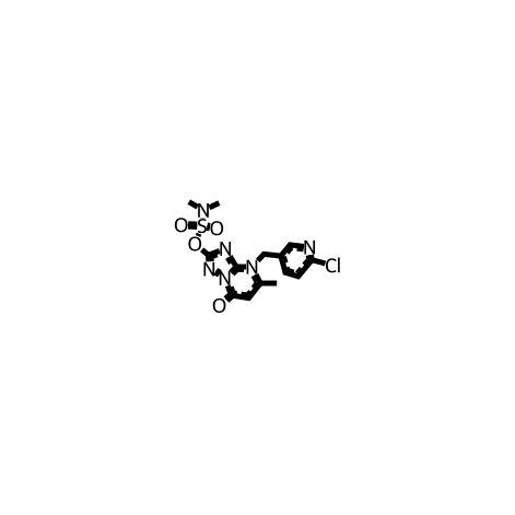 Cc1cc(=O)n2nc(OS(=O)(=O)N(C)C)nc2n1Cc1ccc(Cl)nc1